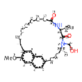 COc1cc2ccc3cc2cc1CCCCCCCC(=O)N[C@@H](C(C)(C)C)C(=O)N(CO)[C@H](C)CC3